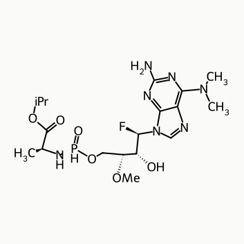 CO[C@H](CO[PH](=O)N[C@@H](C)C(=O)OC(C)C)[C@@H](O)[C@@H](F)n1cnc2c(N(C)C)nc(N)nc21